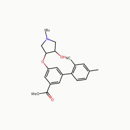 COC(=O)c1cc(OC2CN(C(C)(C)C)CC2O)cc(-c2ccc(C)cc2C#N)c1